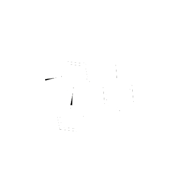 Bc1ccc([C@H]2[C@@H](C)C(C(=O)O)=NN2c2ccc(Cl)cc2Cl)s1